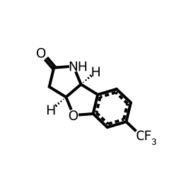 O=C1C[C@@H]2Oc3cc(C(F)(F)F)ccc3[C@@H]2N1